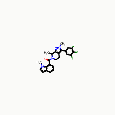 CC1c2nn(C)c(-c3cc(F)c(F)c(F)c3)c2CCN1C(=O)c1cccc2ccn(C)c12